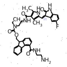 CCN(CCNC(=O)c1c(C)[nH]c(/C=C2\C(=O)Nc3ccc(F)cc32)c1C)C(=O)OCC1c2ccccc2-c2c(C(=O)NCCN)cccc21